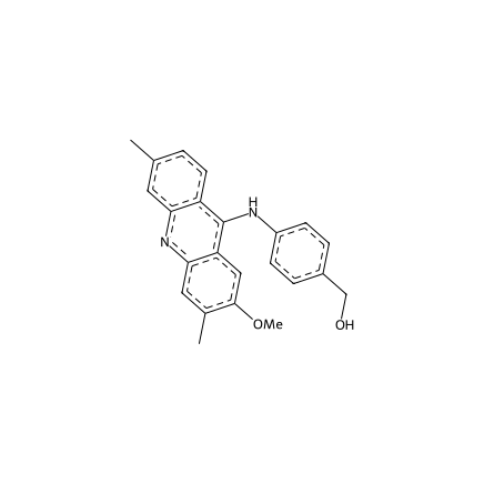 COc1cc2c(Nc3ccc(CO)cc3)c3ccc(C)cc3nc2cc1C